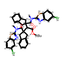 CN(C(=O)C1(C(C(=O)OC(C)(C)C)C2(C(=O)N(C)c3nc4cc(Br)ccc4s3)Cc3ccccc3C2)Cc2ccccc2C1)c1nc2cc(Br)ccc2s1